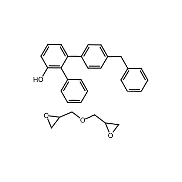 C(OCC1CO1)C1CO1.Oc1cccc(-c2ccc(Cc3ccccc3)cc2)c1-c1ccccc1